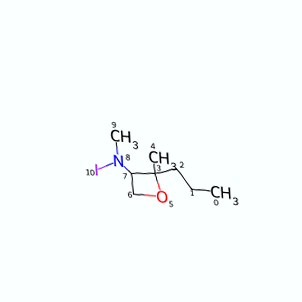 CCCC1(C)OCC1N(C)I